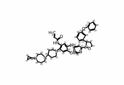 C=CC(=O)Nc1cc(Nc2cc(N3OCCC3c3cccc(Oc4ccccc4)c3)ncn2)c(OC)cc1N1CCC(N2CCCN(C3CC3)CC2)CC1